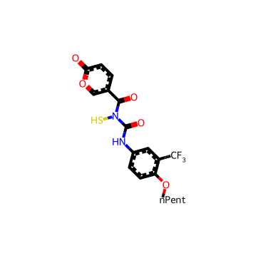 CCCCCOc1ccc(NC(=O)N(S)C(=O)c2ccc(=O)oc2)cc1C(F)(F)F